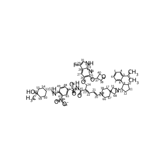 CC(C)c1ccccc1[C@H]1CCC[C@H]1N1CC2(CCN(/C=C/C=C(\COc3cc4c(F)c[nH]c4nc3OC3COC3)C(=O)NS(=O)(=O)c3ccc(NC[C@H]4CC[C@](C)(O)CC4)c([N+](=O)[O-])c3)CC2)C1